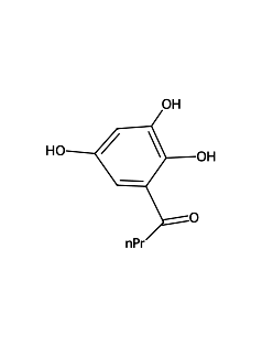 CCCC(=O)c1cc(O)cc(O)c1O